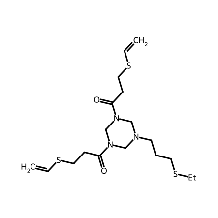 C=CSCCC(=O)N1CN(CCCSCC)CN(C(=O)CCSC=C)C1